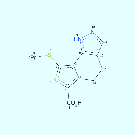 CCCSc1sc(C(=O)O)c2c1-c1[nH]ncc1CC2